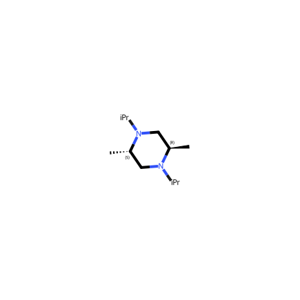 CC(C)N1C[C@H](C)N(C(C)C)C[C@H]1C